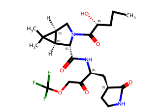 CCC[C@@H](O)C(=O)N1C[C@H]2[C@@H]([C@H]1C(=O)N[C@@H](C[C@@H]1CCNC1=O)C(=O)COC(F)(F)F)C2(C)C